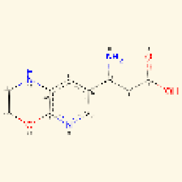 NC(CC(=O)O)c1cnc2c(c1)NCCO2